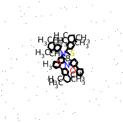 Cc1cc2c3c(c1)N(c1cc4c(cc1-c1ccccc1)C(C)(C)CCC4(C)C)c1c(ccc4c1oc1ccccc14)B3c1sc3cc4c(cc3c1N2c1ccc2c(c1)C(C)(C)CCC2(C)C)C(C)(C)CCC4(C)C